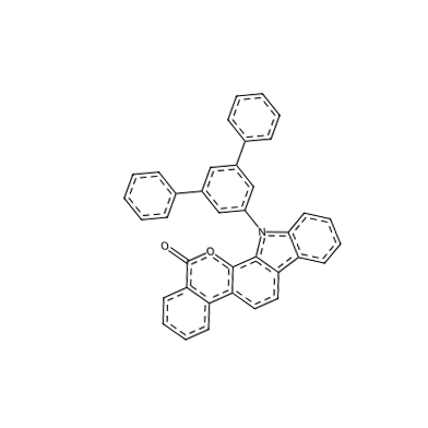 O=c1oc2c(ccc3c4ccccc4n(-c4cc(-c5ccccc5)cc(-c5ccccc5)c4)c32)c2ccccc12